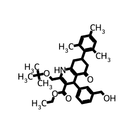 CCOC(=O)C1=C(COC(C)(C)C)NC2=C(C(=O)CC(c3c(C)cc(C)cc3C)C2)C1c1cccc(CO)c1